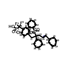 O=P(O)(O)C(F)(F)c1ccc(CC(C/C=C/c2ccccc2)(c2ccccc2)S(=O)(=O)c2ccccc2)cc1